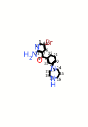 Nc1ncc(Br)cc1C(=O)C1=CC(N2CCCNCC2)=CCC1